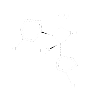 C[C@H]1N[C@@H](C(=O)O)[C@H](c2cccc(Cl)c2)[C@@]1(N)c1ccc(Cl)cc1